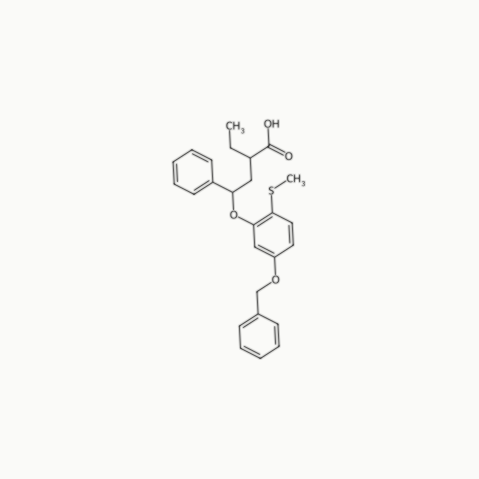 CCC(CC(Oc1cc(OCc2ccccc2)ccc1SC)c1ccccc1)C(=O)O